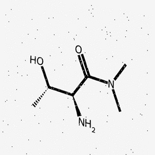 C[C@H](O)[C@H](N)C(=O)N(C)C